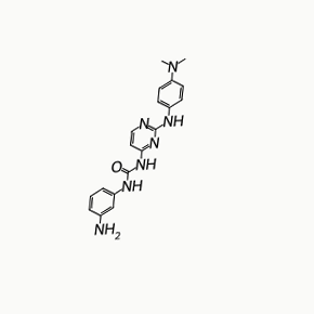 CN(C)c1ccc(Nc2nccc(NC(=O)Nc3cccc(N)c3)n2)cc1